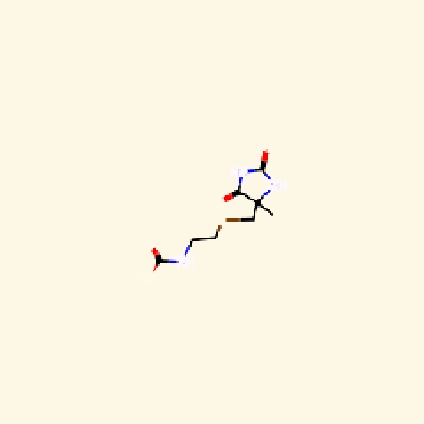 CC1(CSCCNC(=O)O)NC(=O)NC1=O